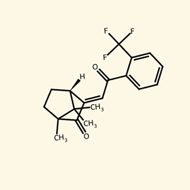 CC12CC[C@H](/C(=C\C(=O)c3ccccc3C(F)(F)F)C1=O)C2(C)C